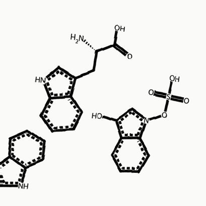 N[C@@H](Cc1c[nH]c2ccccc12)C(=O)O.O=S(=O)(O)On1cc(O)c2ccccc21.c1ccc2[nH]ccc2c1